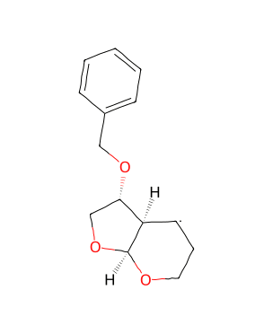 [CH]1CCO[C@H]2OC[C@H](OCc3ccccc3)[C@@H]12